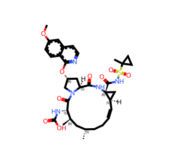 COc1ccc2c(O[C@@H]3C[C@H]4C(=O)N[C@]5(C(=O)NS(=O)(=O)C6(C)CC6)C[C@H]5C=CCC[C@H](C)C[C@@H](C)[C@H](NC(=O)O)C(=O)N4C3)nccc2c1